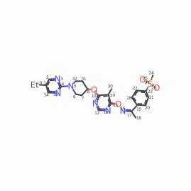 CCc1cnc(N2CCC(Oc3ncnc(ON=C(C)c4ccc(S(C)(=O)=O)cc4)c3C)CC2)nc1